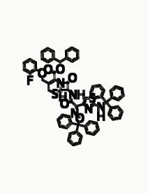 O=C(OC(c1ccccc1)c1ccccc1)C1=C(COc2ccccc2F)CS[C@@H]2C(NC(=O)/C(=N/OC(c3ccccc3)(c3ccccc3)c3ccccc3)c3csc(NC(c4ccccc4)(c4ccccc4)c4ccccc4)n3)C(=O)N12